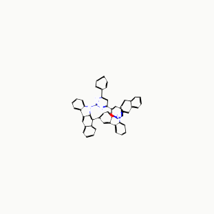 c1ccc(-c2cc(-c3ccccc3)nc(-n3c4ccccc4c4cc5ccccc5c(-c5ccc6c(c5)c5ccccc5n6-c5ccc6ccccc6c5)c43)n2)cc1